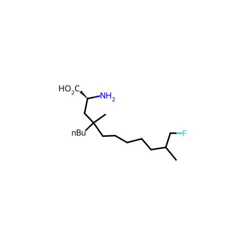 CCCCC(C)(CCCCCC(C)CF)C[C@H](N)C(=O)O